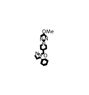 COc1cnc(N2CCC(C(=O)N3N=CC[C@H]3c3ccccc3)CC2)nc1